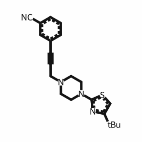 CC(C)(C)c1csc(N2CCN(CC#Cc3cccc(C#N)c3)CC2)n1